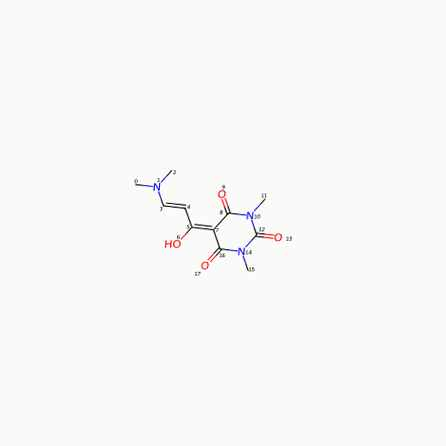 CN(C)/C=C/C(O)=C1C(=O)N(C)C(=O)N(C)C1=O